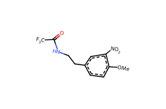 COc1ccc(CCNC(=O)C(F)(F)F)cc1[N+](=O)[O-]